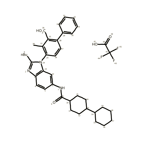 CCCCc1nc2ccc(NC(=O)C3CCC(C4CCCCC4)CC3)cc2n1-c1ccc(-c2ccccc2)c(C(=O)O)c1C.O=C(O)C(F)(F)F